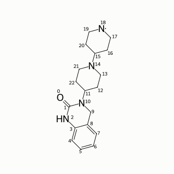 O=C1Nc2ccccc2CN1C1CCN(C2CC[N]CC2)CC1